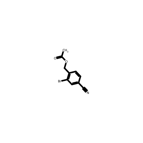 CC(=O)OCc1ccc(C#N)cc1Br